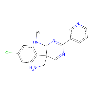 CC(C)NC1N=C(c2cccnc2)N=CC1(CN)c1ccc(Cl)cc1